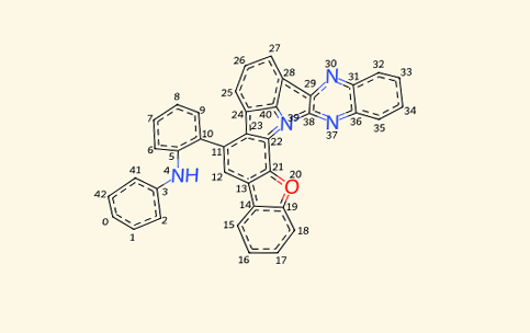 c1ccc(Nc2ccccc2-c2cc3c4ccccc4oc3c3c2c2cccc4c5nc6ccccc6nc5n3c42)cc1